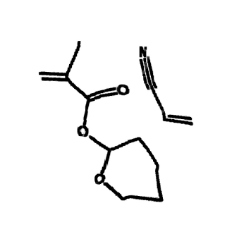 C=C(C)C(=O)OC1CCCCO1.C=CC#N